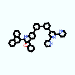 c1ccc(-c2cc(-c3cccc(-c4cccc(-c5ccc6c(c5)nc(-c5cc7ccccc7c7ccccc57)c5oc7ccccc7c56)c4)c3)cc(-c3ccccn3)n2)nc1